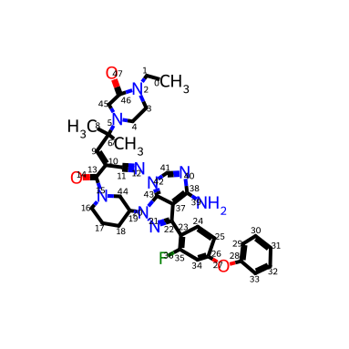 CCN1CCN(C(C)(C)C=C(C#N)C(=O)N2CCCC(n3nc(-c4ccc(Oc5ccccc5)cc4F)c4c(N)ncnc43)C2)CC1=O